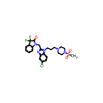 CS(=O)(=O)N1CCN(CCCn2c(CN3C(=O)C(F)(F)c4ccccc43)nc3cc(Cl)ccc32)CC1